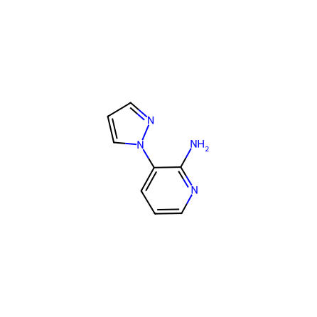 Nc1ncccc1-n1cccn1